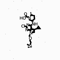 C[C@H]1CC[C@@H](Nc2nc(Cl)nc3c2c(C2CC2)cn3COCC[Si](C)(C)C)CN1C(=O)O